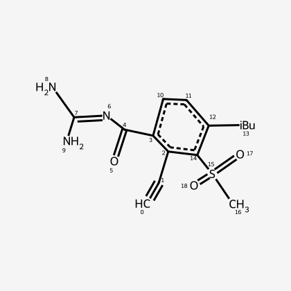 C#Cc1c(C(=O)N=C(N)N)ccc(C(C)CC)c1S(C)(=O)=O